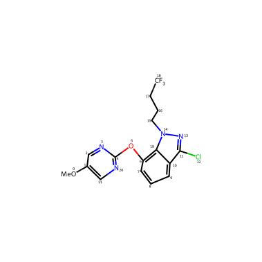 COc1cnc(Oc2cccc3c(Cl)nn(CCCC(F)(F)F)c23)nc1